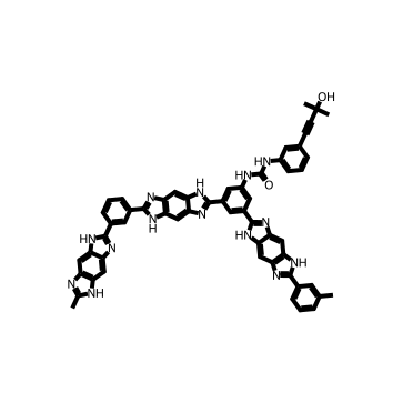 Cc1cccc(-c2nc3cc4[nH]c(-c5cc(NC(=O)Nc6cccc(C#CC(C)(C)O)c6)cc(-c6nc7cc8[nH]c(-c9cccc(-c%10nc%11cc%12[nH]c(C)nc%12cc%11[nH]%10)c9)nc8cc7[nH]6)c5)nc4cc3[nH]2)c1